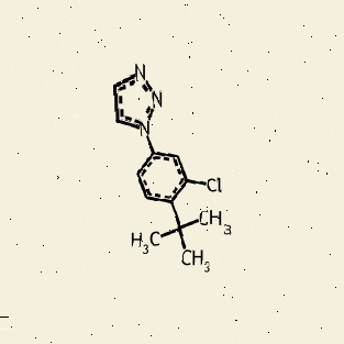 CC(C)(C)c1ccc(-n2ccnn2)cc1Cl